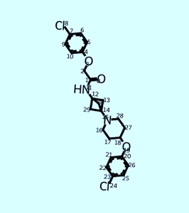 O=C(COc1ccc(Cl)cc1)NC12CC(N3CCC(Oc4ccc(Cl)cc4)CC3)(C1)C2